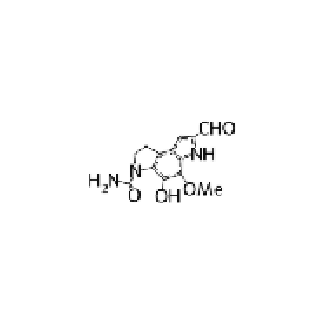 COc1c(O)c2c(c3cc(C=O)[nH]c13)CCN2C(N)=O